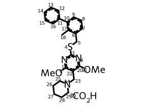 COc1nc(SCc2cccc(-c3ccccc3)c2C)nc(OC)c1CN1CCCC[C@H]1C(=O)O